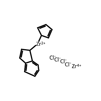 C1=C[CH]([Zr+2][CH]2C=Cc3ccccc32)C=C1.[Cl-].[Cl-].[Cl-].[Cl-].[Zr+4]